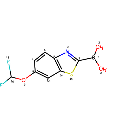 OB(O)c1nc2ccc(OC(F)F)cc2s1